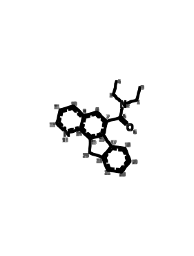 CCN(CC)C(=O)c1cc2cccnc2c2c1-c1ccccc1C2